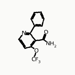 NC(=O)c1c(OC(F)(F)F)ccnc1-c1ccccc1